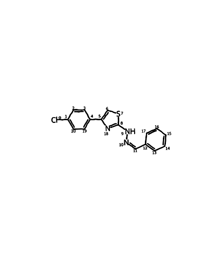 Clc1ccc(-c2csc(N/N=C\c3ccccc3)n2)cc1